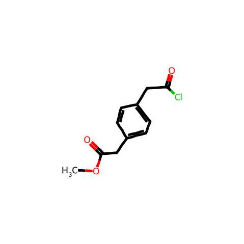 COC(=O)Cc1ccc(CC(=O)Cl)cc1